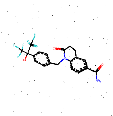 NC(=O)c1ccc2c(c1)CCC(=O)N2Cc1ccc(C(O)(C(F)(F)F)C(F)(F)F)cc1